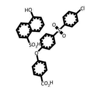 O=C(O)c1ccc(Oc2ccc(S(=O)(=O)c3ccc(Cl)cc3)cc2)cc1.O=S(=O)(O)c1cccc2c(O)cccc12